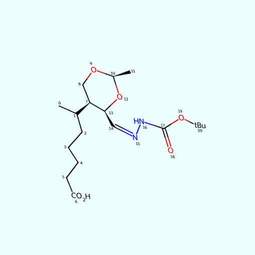 CC(CCCCC(=O)O)[C@H]1CO[C@@H](C)O[C@H]1/C=N\NC(=O)OC(C)(C)C